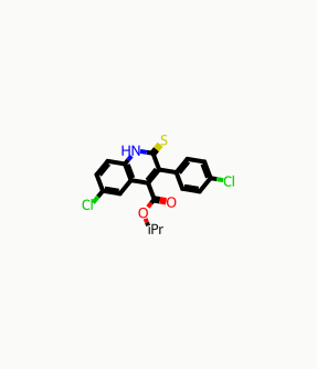 CC(C)OC(=O)c1c(-c2ccc(Cl)cc2)c(=S)[nH]c2ccc(Cl)cc12